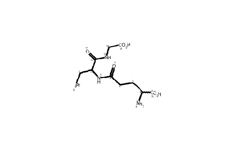 CC(C)CC(NC(=O)CCC(N)C(=O)O)C(=O)NCC(=O)O